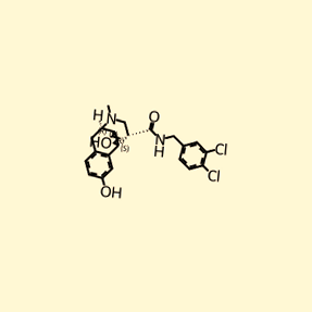 CN1CC[C@]23C[C@@H](C(=O)NCc4ccc(Cl)c(Cl)c4)C[C@@]2(O)[C@H]1Cc1ccc(O)cc13